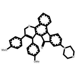 COc1ccc(C2=C(c3ccc(OC)cc3)c3c4c(c5ccccc5c3OC2)-c2ccc(N3CCOCC3)cc2C4=O)cc1